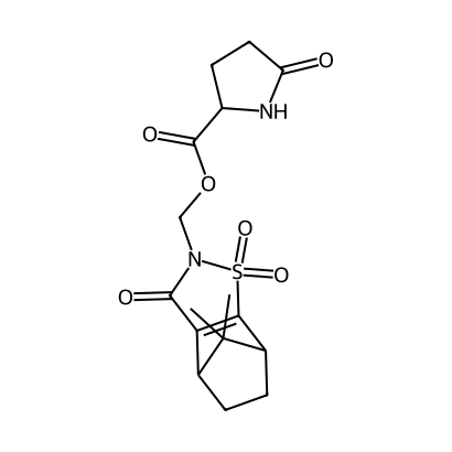 CC1(C)C2CCC1C1=C2C(=O)N(COC(=O)C2CCC(=O)N2)S1(=O)=O